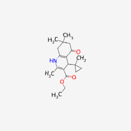 CCOC(=O)C1=C(C)NC2=C(C(=O)CC(C)(C)C2)C1C1(C)CC1